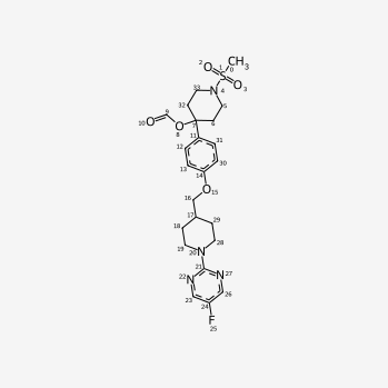 CS(=O)(=O)N1CCC(OC=O)(c2ccc(OCC3CCN(c4ncc(F)cn4)CC3)cc2)CC1